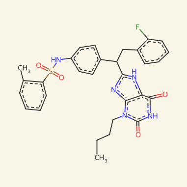 CCCCn1c(=O)[nH]c(=O)c2[nH]c(C(Cc3ccccc3F)c3ccc(NS(=O)(=O)c4ccccc4C)cc3)nc21